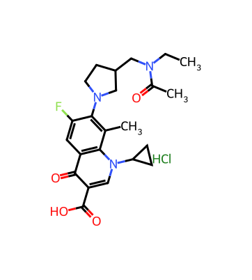 CCN(CC1CCN(c2c(F)cc3c(=O)c(C(=O)O)cn(C4CC4)c3c2C)C1)C(C)=O.Cl